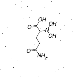 NC(=O)CCC(C(=O)O)N(O)O